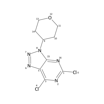 Clc1nc(Cl)c2nnn(C3CCOCC3)c2n1